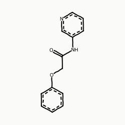 O=C(COc1ccccc1)Nc1cccnc1